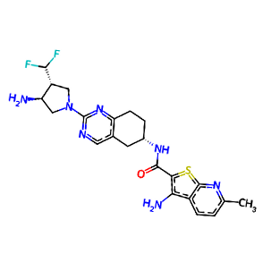 Cc1ccc2c(N)c(C(=O)N[C@H]3CCc4nc(N5C[C@@H](N)[C@H](C(F)F)C5)ncc4C3)sc2n1